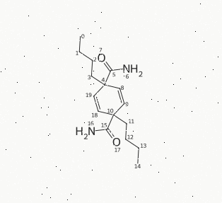 CCCCC1(C(N)=O)C=CC(CCCC)(C(N)=O)C=C1